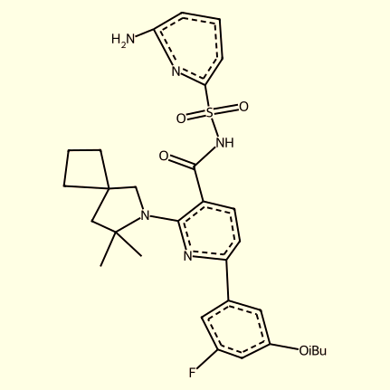 CC(C)COc1cc(F)cc(-c2ccc(C(=O)NS(=O)(=O)c3cccc(N)n3)c(N3CC4(CCC4)CC3(C)C)n2)c1